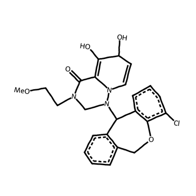 COCCN1CN(C2c3ccccc3COc3c(Cl)cccc32)N2C=CC(O)C(O)=C2C1=O